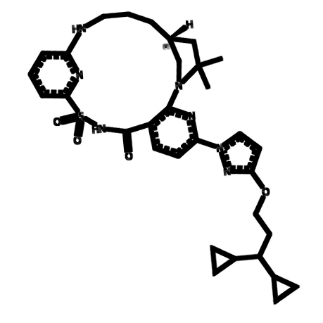 CC1(C)C[C@H]2CCCNc3cccc(n3)S(=O)(=O)NC(=O)c3ccc(-n4ccc(OCCC(C5CC5)C5CC5)n4)nc3N1C2